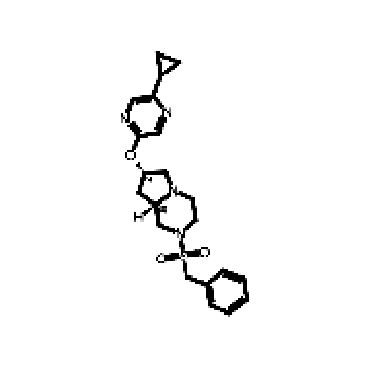 O=S(=O)(Cc1ccccc1)N1CCN2C[C@@H](Oc3cnc(C4CC4)cn3)C[C@H]2C1